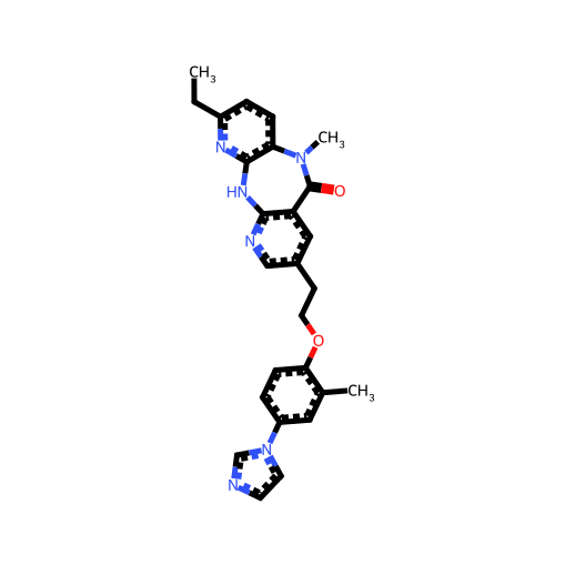 CCc1ccc2c(n1)Nc1ncc(CCOc3ccc(-n4ccnc4)cc3C)cc1C(=O)N2C